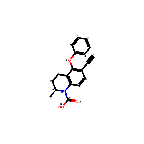 C#Cc1ccc2c(c1Oc1ccccc1)CC[C@H](C)N2C(=O)O